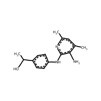 Cc1cc(C)c(N)c(Nc2ccc(C(C)O)cc2)n1